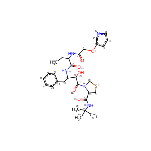 CCC(NC(=O)COc1cccnc1)C(=O)NC(Cc1ccccc1)C(O)C(=O)N1CSCC1C(=O)NC(C)(C)C